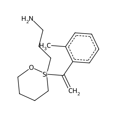 C=C(c1ccccc1C)[Si]1(CCCN)CCCCO1